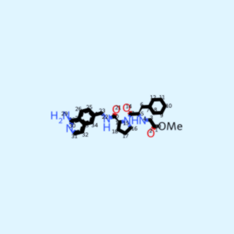 COC(=O)CN[C@H](CC1CCCCC1)C(=O)N1CCC[C@H]1C(=O)NCc1ccc2c(N)nccc2c1